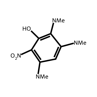 CNc1cc(NC)c([N+](=O)[O-])c(O)c1NC